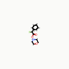 O=C(ON1CCOCC1)C(F)c1ccccc1